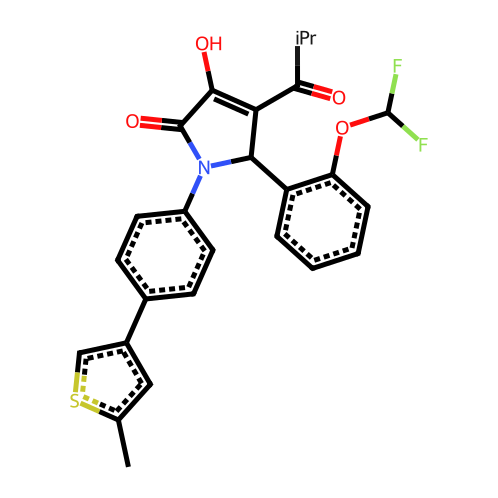 Cc1cc(-c2ccc(N3C(=O)C(O)=C(C(=O)C(C)C)C3c3ccccc3OC(F)F)cc2)cs1